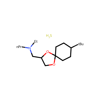 CCCN(CC)CC1COC2(CCC(C(C)(C)C)CC2)O1.S